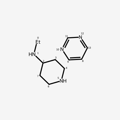 CCNC1CCNCC1.c1cncnc1